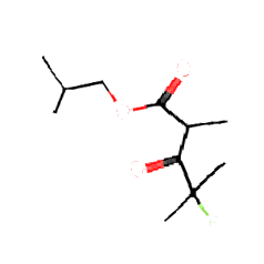 CC(C)COC(=O)C(C)C(=O)C(C)(C)F